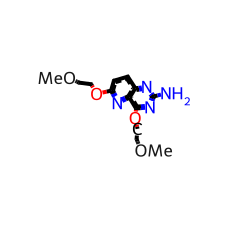 COCCOc1ccc2nc(N)nc(OCCOC)c2n1